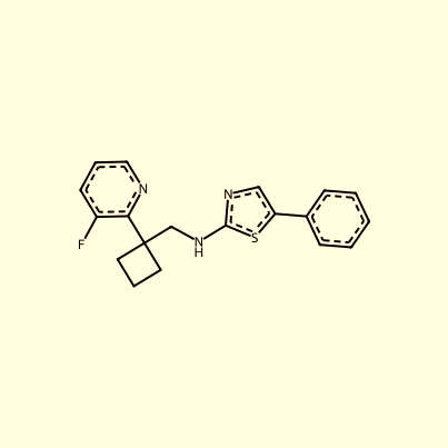 Fc1cccnc1C1(CNc2ncc(-c3ccccc3)s2)CCC1